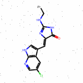 CC(C)CNC1=NC(=Cc2c[nH]c3ncc(Cl)cc23)C(=O)N1